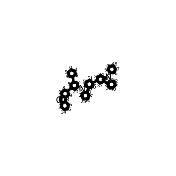 c1ccc(-c2cc(-c3ccc4oc5ccccc5c4c3)cc(-n3c4ccccc4c4cc(-c5ccc6c(c5)c5ccccc5n6-c5ccccc5)ccc43)c2)cc1